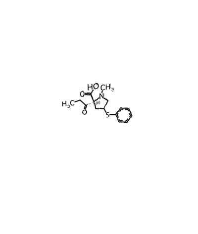 CCC(=O)[C@@]1(C(=O)O)CC(Sc2ccccc2)CN1C